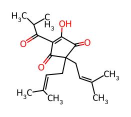 CC(C)=CCC1(CC=C(C)C)C(=O)C(O)=C(C(=O)C(C)C)C1=O